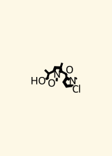 Cc1cc(C(C)C(=O)O)n(C)c1C(=O)c1ccc(Cl)n1C